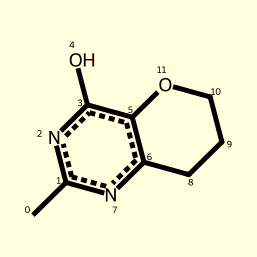 Cc1nc(O)c2c(n1)CCCO2